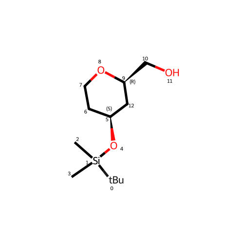 CC(C)(C)[Si](C)(C)O[C@H]1CCO[C@@H](CO)C1